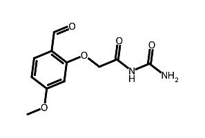 COc1ccc(C=O)c(OCC(=O)NC(N)=O)c1